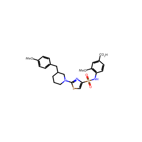 COc1ccc(CC2CCCN(c3nc(S(=O)(=O)Nc4ccc(C(=O)O)cc4OC)cs3)C2)cc1